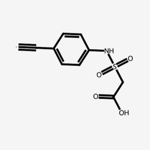 [C]#Cc1ccc(NS(=O)(=O)CC(=O)O)cc1